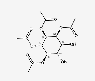 CC(=O)O[C@@H]1[C@@H](OC(C)=O)[C@@H](OC(C)=O)[C@@H](O)[C@H](O)[C@H]1OC(C)=O